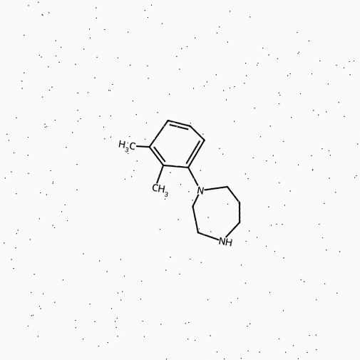 Cc1cccc(N2CCCNCC2)c1C